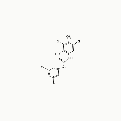 Cc1c(Cl)cc(NC(=S)Nc2cc(Cl)cc(Cl)c2)c(O)c1Cl